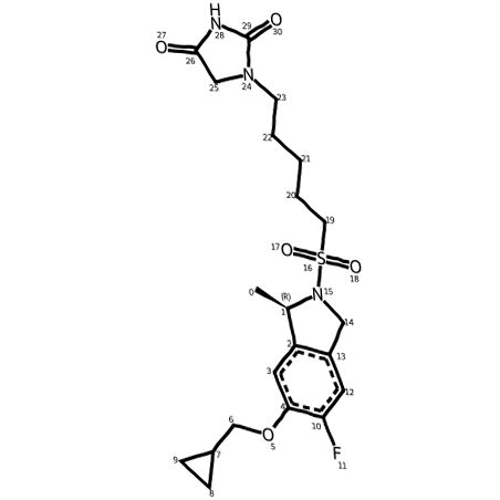 C[C@@H]1c2cc(OCC3CC3)c(F)cc2CN1S(=O)(=O)CCCCCN1CC(=O)NC1=O